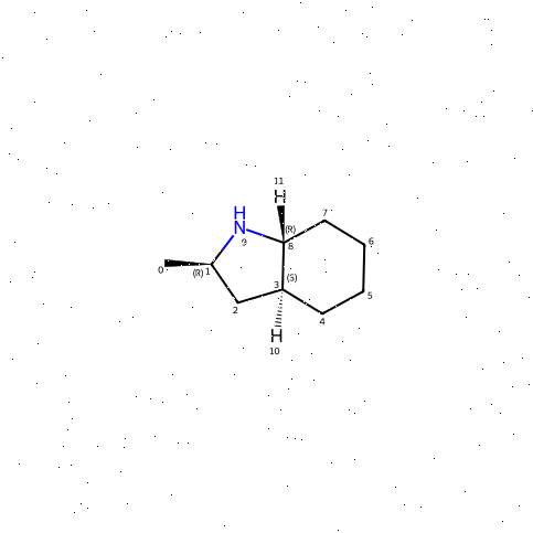 C[C@@H]1C[C@@H]2CCCC[C@H]2N1